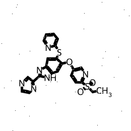 CCS(=O)(=O)c1ccc(Oc2cc3[nH]c(-c4cnccn4)nc3cc2Sc2ccccn2)cn1